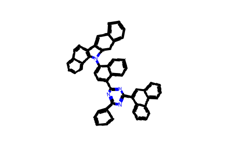 C1=C2c3ccc4ccccc4c3N(c3ccc(-c4nc(-c5ccccc5)nc(-c5cc6ccccc6c6ccccc56)n4)c4ccccc34)C2Cc2ccccc21